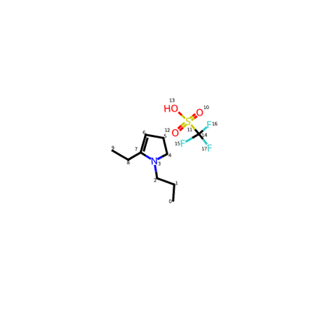 CCCN1CCC=C1CC.O=S(=O)(O)C(F)(F)F